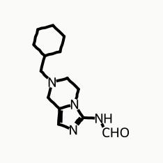 O=CNc1ncc2n1CCN(CC1CCCCC1)C2